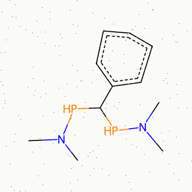 CN(C)PC(PN(C)C)c1ccccc1